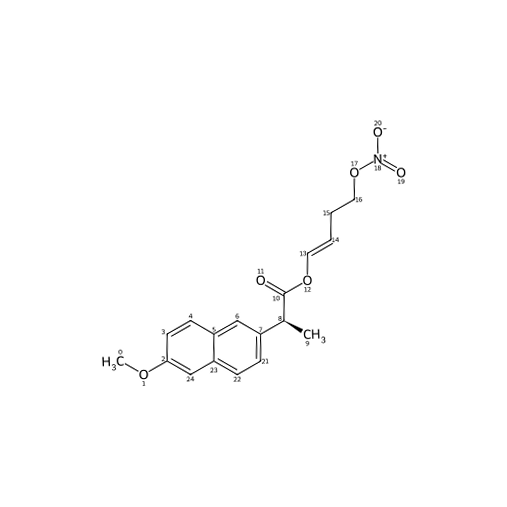 COc1ccc2cc([C@H](C)C(=O)O/C=C/CCO[N+](=O)[O-])ccc2c1